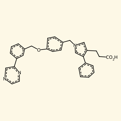 O=C(O)CCc1cn(Cc2ccc(OCc3cccc(-c4cnccn4)c3)cc2)cc1-c1ccccc1